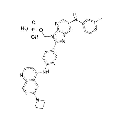 Cc1cccc(Nc2cnc3c(c2)nc(-c2ccc(Nc4ccnc5ccc(N6CCC6)cc45)nc2)n3COP(=O)(O)O)c1